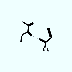 C=C(C)C(=O)OC.C=CC(N)=O